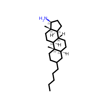 CCCCCC1CC[C@@]2(C)[C@@H](CC[C@@H]3[C@@H]2CC[C@]2(C)[C@@H](N)CC[C@@H]32)C1